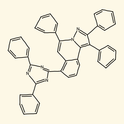 c1ccc(-c2nc(-c3ccccc3)nc(-c3cccc4c3cc(-c3ccccc3)n3nc(-c5ccccc5)c(-c5ccccc5)c43)n2)cc1